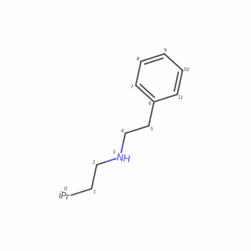 CC(C)CCNCCc1ccccc1